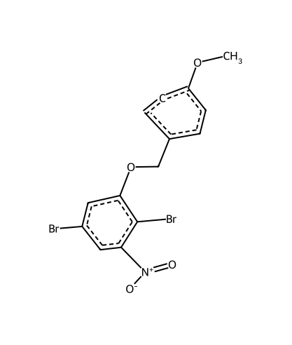 COc1ccc(COc2cc(Br)cc([N+](=O)[O-])c2Br)cc1